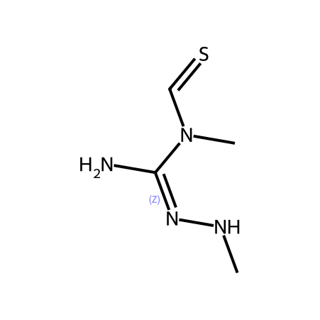 CN/N=C(/N)N(C)C=S